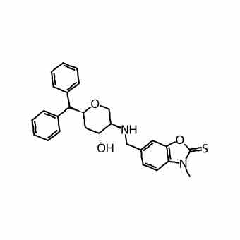 Cn1c(=S)oc2cc(CN[C@@H]3CO[C@H](C(c4ccccc4)c4ccccc4)C[C@H]3O)ccc21